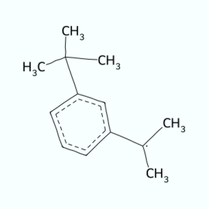 C[C](C)c1cccc(C(C)(C)C)c1